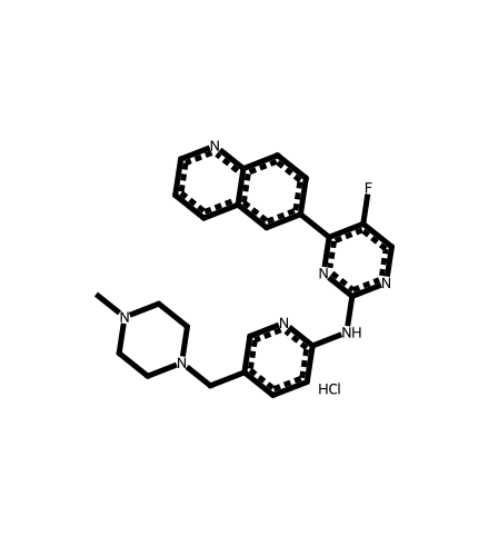 CN1CCN(Cc2ccc(Nc3ncc(F)c(-c4ccc5ncccc5c4)n3)nc2)CC1.Cl